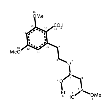 CCOP(CP(O)OC)OCCc1cc(OC)cc(OC)c1C(=O)O